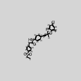 CCS(=O)(=O)c1ccc(CC(=O)Nc2ccc(C#CC(C)(C)Oc3c(F)cc(Cl)cc3F)cc2)cc1